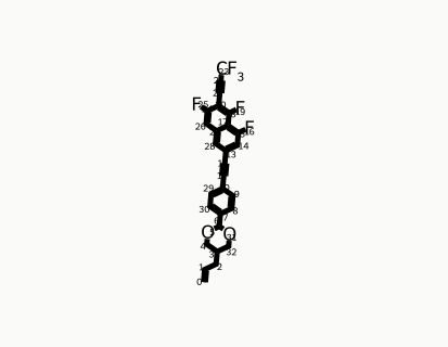 C=CCC1COC(c2ccc(C#Cc3cc(F)c4c(F)c(C#CC(F)(F)F)c(F)cc4c3)cc2)OC1